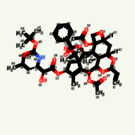 C=CC1O[C@H]2C[C@H]3OC[C@@]3(OC(C)=O)[C@H]3[C@H](OC(=O)c4ccccc4)C4(C(C)(C)O)C[C@H](OC(=O)[C@@H](O)[C@H](CC(C)C)NC(=O)OC(C)(C)C)C(C)=C4[C@H](OC(C)=O)[C@H](O1)[C@]23C